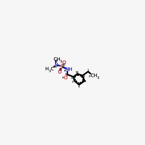 CCc1cccc(C(=O)NS(=O)(=O)N(C)C)c1